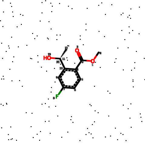 COC(=O)c1ccc(F)cc1[C@@H](C)O